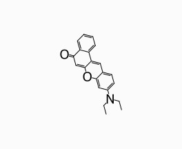 CCN(CC)c1ccc2cc3c4ccccc4c(=O)cc-3oc2c1